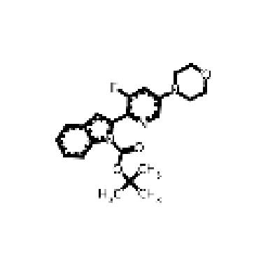 CC(C)(C)OC(=O)n1c(-c2ncc(N3CCOCC3)cc2F)cc2ccccc21